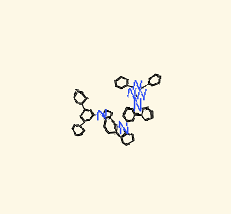 c1ccc(-c2cc(-c3ccccc3)cc(-n3ccc4c3ccc3c5ccccc5n(-c5ccc6c(c5)c5ccccc5n6-c5nc(-c6ccccc6)nc(-c6ccccc6)n5)c34)c2)cc1